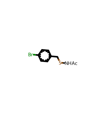 CC(=O)NSCc1ccc(Br)cc1